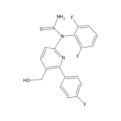 NC(=O)N(c1ccc(CO)c(-c2ccc(F)cc2)n1)c1c(F)cccc1F